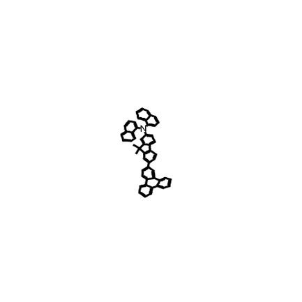 CC1(C)c2cc(-c3ccc4c5ccccc5c5ccccc5c4c3)ccc2-c2ccc(N(c3cccc4ccccc34)c3cccc4ccccc34)cc21